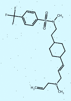 C=CCN(C)C/C=C/C1CCC(CCN(C)S(=O)(=O)c2ccc(C(F)(F)F)cc2)CC1